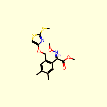 CO/N=C(/C(=O)OC)c1cc(C)c(C)cc1COc1csc(SC)n1